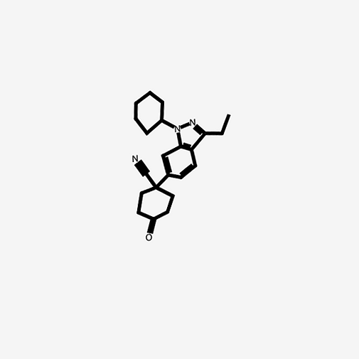 CCc1nn(C2CCCCC2)c2cc(C3(C#N)CCC(=O)CC3)ccc12